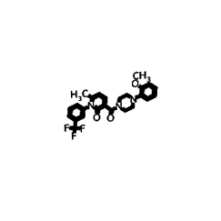 COc1ccccc1N1CCN(C(=O)c2ccc(C)n(-c3cccc(C(F)(F)F)c3)c2=O)CC1